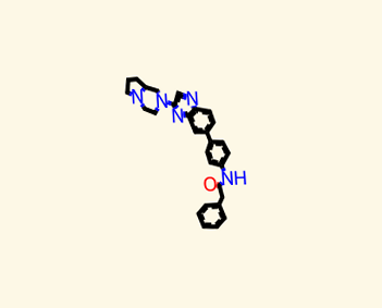 O=C(Cc1ccccc1)Nc1ccc(-c2ccc3ncc(N4CCN5CCCC5C4)nc3c2)cc1